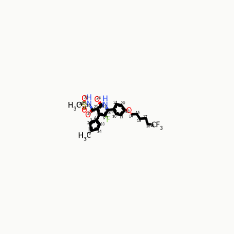 Cc1ccc(-c2c(F)c(-c3ccc(OCCCCCC(F)(F)F)cc3)[nH]c(=O)c2C(=O)NS(C)(=O)=O)cc1